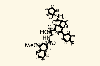 COc1cc(C(=O)NC[C@](O)(c2cc3c(c(-c4ccc(F)cc4)n2)OC[C@]3(C)C(=O)NC2(C)CCCC2)C(F)(F)F)cc2cccnc12